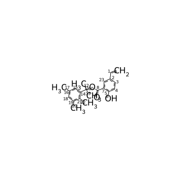 C=Cc1ccc(O)c(C(=O)OC(C)(C)c2cc(C)cc(C)c2C)c1